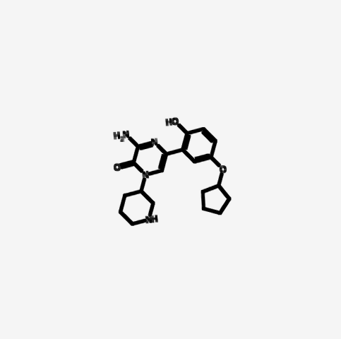 Nc1nc(-c2cc(OC3CCCC3)ccc2O)cn(C2CCCNC2)c1=O